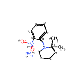 CC1(C)CCCCN1c1ccccc1[N+](=O)[O-].N